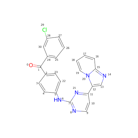 O=C(c1ccc(Nc2nccc(-c3cnc4ccccn34)n2)cc1)c1cccc(Cl)c1